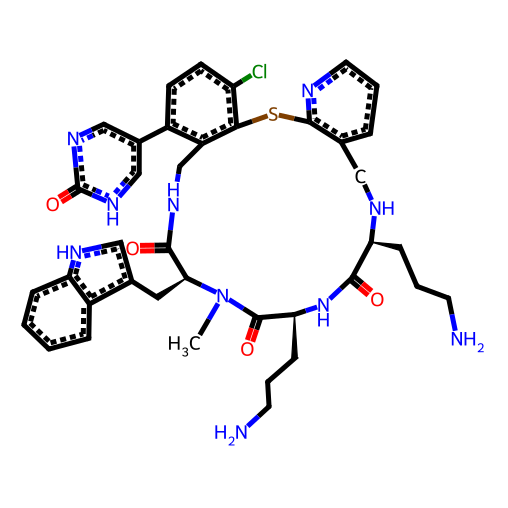 CN1C(=O)[C@H](CCCN)NC(=O)[C@H](CCCN)NCc2cccnc2Sc2c(Cl)ccc(-c3cnc(=O)[nH]c3)c2CNC(=O)[C@@H]1Cc1c[nH]c2ccccc12